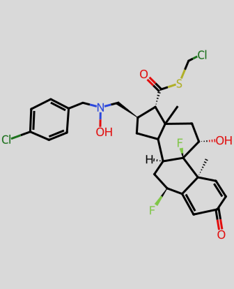 CC12C[C@H](O)[C@@]3(F)[C@@H](C[C@H](F)C4=CC(=O)C=C[C@@]43C)C1C[C@@H](CN(O)Cc1ccc(Cl)cc1)[C@@H]2C(=O)SCCl